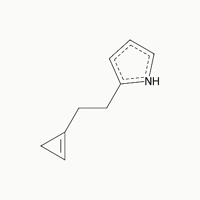 C1=C(CCc2ccc[nH]2)C1